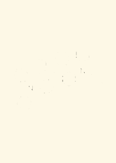 Cc1cccc(N(c2cccc(C)c2)c2ccc3c(c2)C2(c4cc(C)ccc4-c4ccc(C)cc42)c2cc(N(c4cccc(C)c4)c4cccc(C)c4)ccc2-3)c1